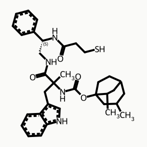 CC1CC2CCC(OC(=O)NC(C)(Cc3c[nH]c4ccccc34)C(=O)NC[C@@H](NC(=O)CCS)c3ccccc3)(C1)C(C)C2